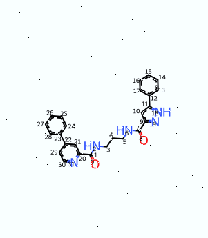 O=C(NCCCNC(=O)c1cc(-c2ccccc2)[nH]n1)c1cc(-c2ccccc2)ccn1